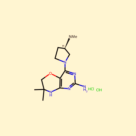 CN[C@@H]1CCN(c2nc(N)nc3c2OCC(C)(C)N3)C1.Cl.Cl